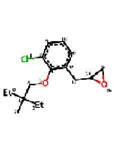 CCC(C)(CC)COc1c(Cl)cccc1CC1CO1